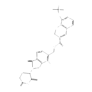 O=C1CCC(N2Cc3c(ccc(CNC(=O)C4=Cc5cccc(OC(F)(F)F)c5OC4)c3F)C2=O)C(=O)N1